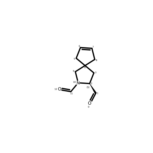 O=C[C@@H]1CC2(CC=CC2)CN1C=O